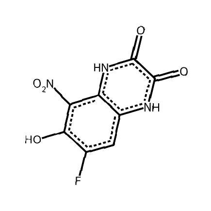 O=c1[nH]c2cc(F)c(O)c([N+](=O)[O-])c2[nH]c1=O